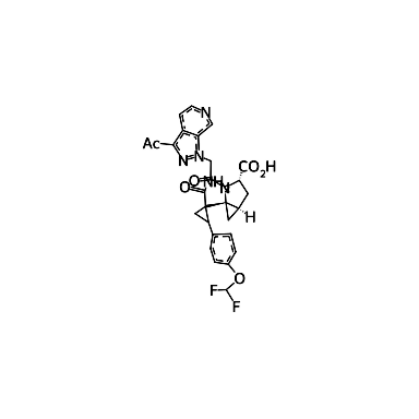 CC(=O)c1nn(CC(=O)N2[C@H](C(=O)O)C[C@H]3C[C@@]32C2(C(N)=O)CC2c2ccc(OC(F)F)cc2)c2cnccc12